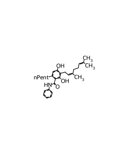 CCCCCc1cc(O)c(CC=C(C)CCC=C(C)C)c(O)c1C(=O)Nc1ccccc1